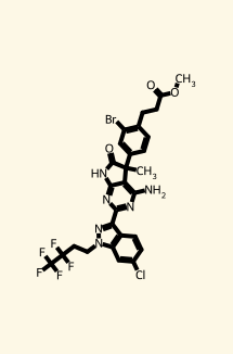 COC(=O)CCc1ccc(C2(C)C(=O)Nc3nc(-c4nn(CCC(F)(F)C(F)(F)F)c5cc(Cl)ccc45)nc(N)c32)cc1Br